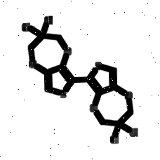 ClC1(Cl)COc2csc(-c3scc4c3OCC(Cl)(Cl)CO4)c2OC1